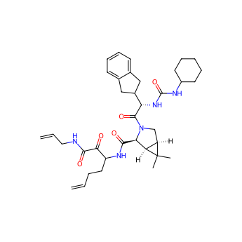 C=CCCC(NC(=O)[C@@H]1[C@H]2[C@@H](CN1C(=O)[C@@H](NC(=O)NC1CCCCC1)C1Cc3ccccc3C1)C2(C)C)C(=O)C(=O)NCC=C